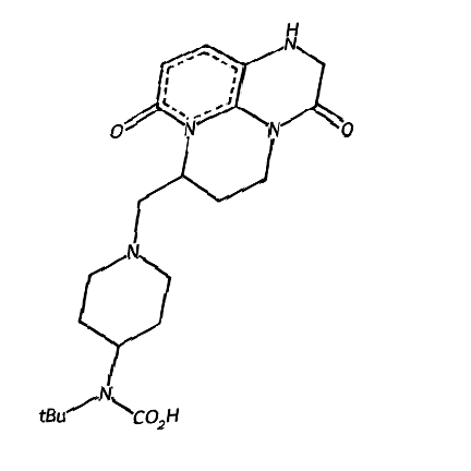 CC(C)(C)N(C(=O)O)C1CCN(CC2CCN3C(=O)CNc4ccc(=O)n2c43)CC1